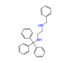 c1ccc(CNCCNC(c2ccccc2)(c2ccccc2)c2ccccc2)cc1